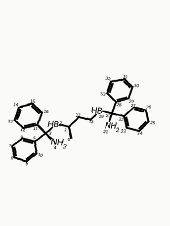 CC(BC(N)(c1ccccc1)c1ccccc1)CCBC(N)(c1ccccc1)c1ccccc1